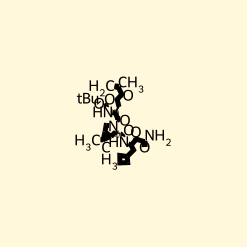 C=C(C)C(=O)CC[C@H](NC(=O)OC(C)(C)C)C(=O)N1CC2C([C@H]1C(=O)NC(CC1CCC1)C(=O)C(N)=O)C2(C)C